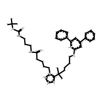 CC(C)(C)OC(=O)NCCCNC(=O)CCCCn1nnnc1C(C)(C)CCCCOc1cc(-c2ccccc2)cc(-c2ccccc2)n1